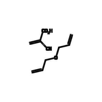 C=C(C#N)C(=O)O.C=CCOCC=C